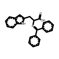 O=C(O)C(Cc1cc2ccccc2[nH]1)N=C(c1ccccc1)c1ccccc1